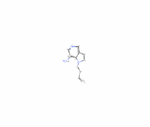 C=CCCn1ccc2cncc(N)c21